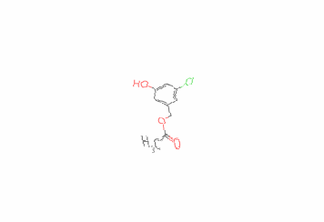 CC(=O)OCc1cc(O)cc(Cl)c1